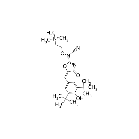 CC(C)(C)c1cc(C=C2OC(N(C#N)OCC[N+](C)(C)C)=NC2=O)cc(C(C)(C)C)c1O